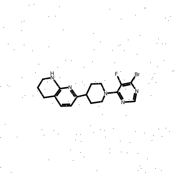 Fc1c(Br)ncnc1N1CCC(c2ccc3c(n2)NCCC3)CC1